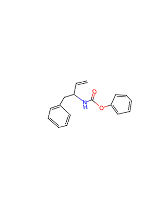 C=CC(Cc1ccccc1)NC(=O)Oc1ccccc1